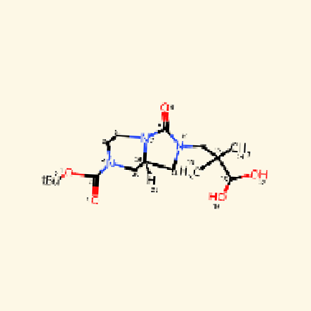 CC(C)(C)OC(=O)N1CCN2C(=O)N(CC(C)(C)C(O)O)C[C@@H]2C1